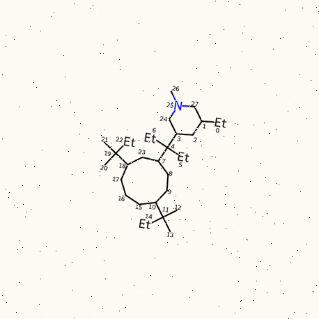 CCC1CC(C(CC)(CC)C2CCC(C(C)(C)CC)CCCC(C(C)(C)CC)C2)CN(C)C1